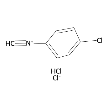 C#[N+]c1ccc(Cl)cc1.Cl.[Cl-]